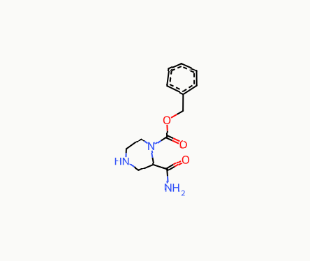 NC(=O)C1CNCCN1C(=O)OCc1ccccc1